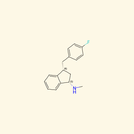 CN[C@H]1C[C@@H](Cc2ccc(F)cc2)c2ccccc21